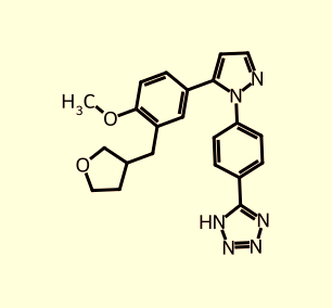 COc1ccc(-c2ccnn2-c2ccc(-c3nnn[nH]3)cc2)cc1CC1CCOC1